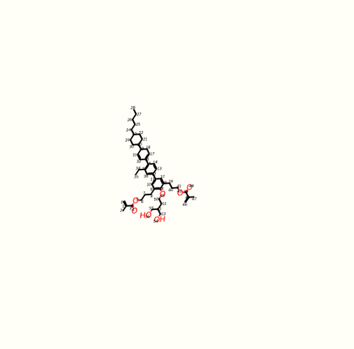 C=C(C)C(=O)OCCCc1cc(-c2ccc(C3=CCC(C4CCC(CCCCC)CC4)C=C3)c(CC)c2)cc(CCCOC(=O)C(=C)C)c1OCCC(CO)CO